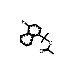 CC(=O)OC(C)(C)c1ccc(F)c2ccccc12